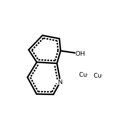 Oc1cccc2cccnc12.[Cu].[Cu]